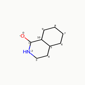 [O]C1NCCC2CCCCC21